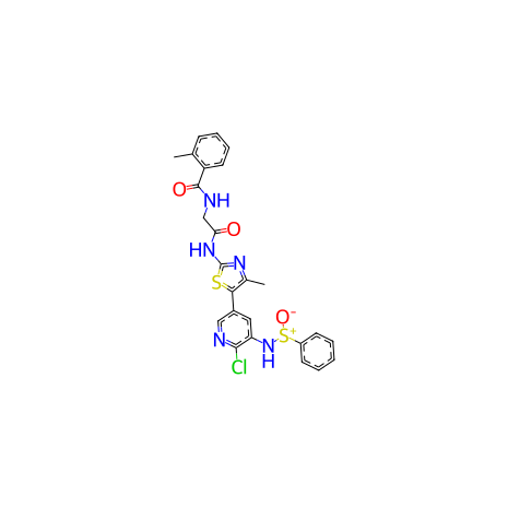 Cc1ccccc1C(=O)NCC(=O)Nc1nc(C)c(-c2cnc(Cl)c(N[S+]([O-])c3ccccc3)c2)s1